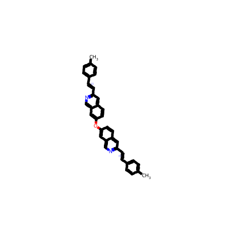 Cc1ccc(/C=C/c2cc3ccc(Oc4ccc5cc(/C=C/c6ccc(C)cc6)ncc5c4)cc3cn2)cc1